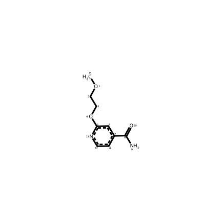 COCCOc1cc(C(N)=O)ccn1